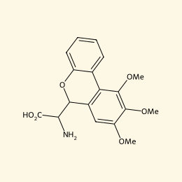 COc1cc2c(c(OC)c1OC)-c1ccccc1OC2C(N)C(=O)O